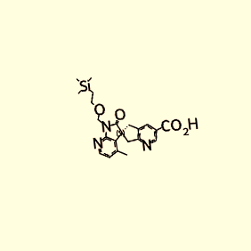 Cc1ccnc2c1[C@@]1(Cc3cc(C(=O)O)cnc3C1)C(=O)N2COCC[Si](C)(C)C